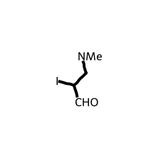 CNCC(I)C=O